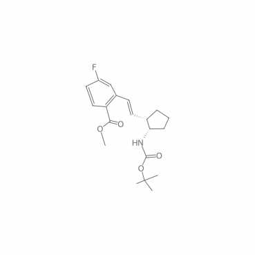 COC(=O)c1ccc(F)cc1/C=C/[C@@H]1CCC[C@@H]1NC(=O)OC(C)(C)C